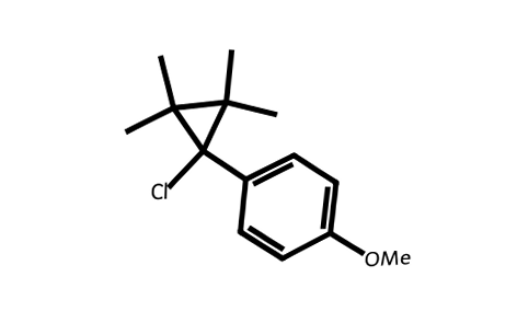 COc1ccc(C2(Cl)C(C)(C)C2(C)C)cc1